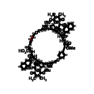 COC(=O)[C@@H]1Cc2ccc(cc2)OCc2cn(nn2)C2CCN(C(=O)[C@@H](NC(=O)[C@H](C)N(C)C(=O)OC(C)(C)C)C(C)(C)C)[C@@H]2C(=O)N[C@@H](Cc2ccc3ccccc3c2)C(=O)N[C@H](C(=O)O)Cc2ccc(cc2)OCc2cn(nn2)C2CCN(C(=O)[C@@H](NC(=O)[C@H](C)N(C)C(=O)OC(C)(C)C)C(C)(C)C)[C@@H]2C(=O)N[C@@H](Cc2ccc3ccccc3c2)C(=O)N1